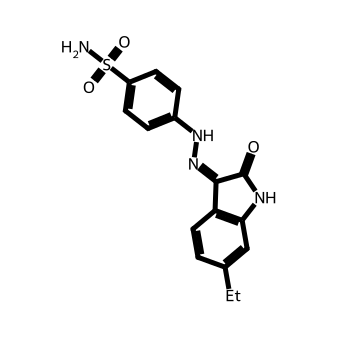 CCc1ccc2c(c1)NC(=O)C2=NNc1ccc(S(N)(=O)=O)cc1